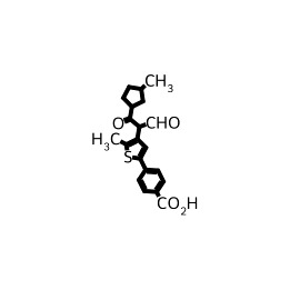 Cc1sc(-c2ccc(C(=O)O)cc2)cc1C(C=O)C(=O)C1CCC(C)C1